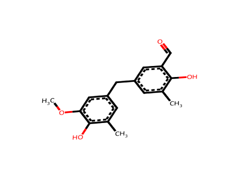 COc1cc(Cc2cc(C)c(O)c(C=O)c2)cc(C)c1O